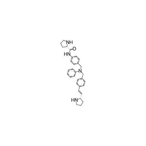 O=C(Nc1ccc(CN(Cc2ccc(/C=C/[C@@H]3CCCN3)cc2)c2ccccc2)cc1)[C@@H]1CCCN1